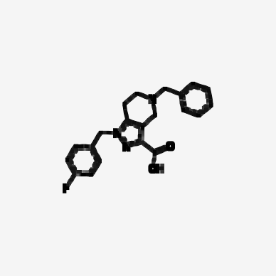 O=C(O)c1nn(Cc2ccc(F)cc2)c2c1CN(Cc1ccccc1)CC2